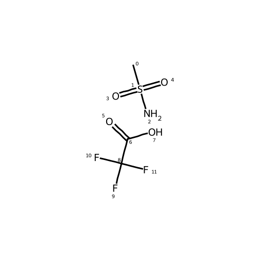 CS(N)(=O)=O.O=C(O)C(F)(F)F